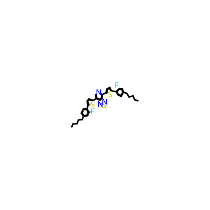 CCCCCc1ccc(-c2ccc(-c3cnc(-c4ccc(-c5ccc(CCCCC)cc5F)s4)c4nsnc34)s2)c(F)c1